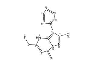 O=c1cc(CF)[nH]c2c(-c3ccccc3)c(Cl)nn12